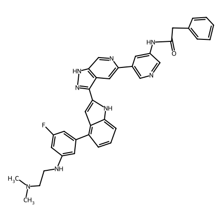 CN(C)CCNc1cc(F)cc(-c2cccc3[nH]c(-c4n[nH]c5cnc(-c6cncc(NC(=O)Cc7ccccc7)c6)cc45)cc23)c1